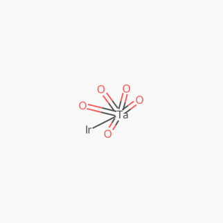 [O]=[Ta](=[O])(=[O])(=[O])(=[O])[Ir]